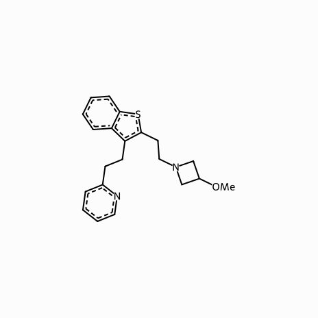 COC1CN(CCc2sc3ccccc3c2CCc2ccccn2)C1